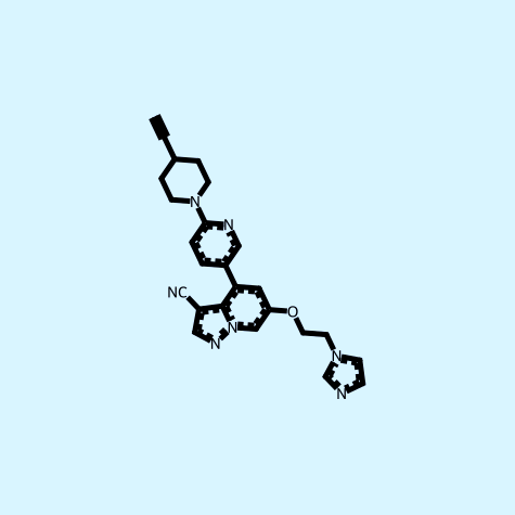 C#CC1CCN(c2ccc(-c3cc(OCCn4ccnc4)cn4ncc(C#N)c34)cn2)CC1